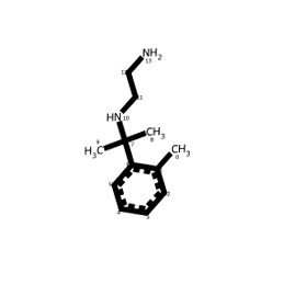 Cc1ccccc1C(C)(C)NCCN